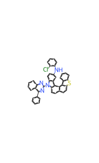 Clc1ccccc1Nc1ccc2c(c1)c1c3c(ccc4sc5ccccc5c43)ccc1n2-c1nc(-c2ccccc2)c2ccccc2n1